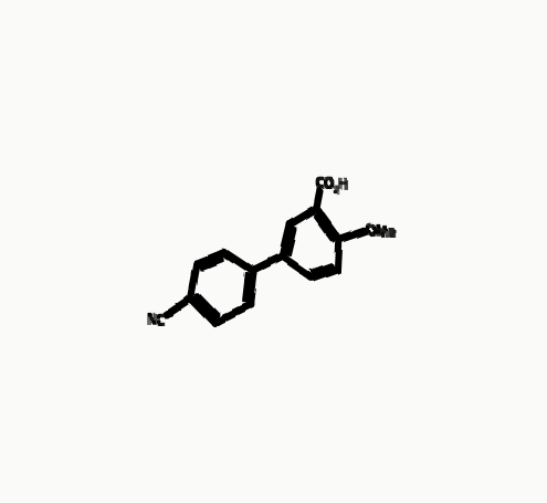 COc1ccc(-c2ccc(C#N)cc2)cc1C(=O)O